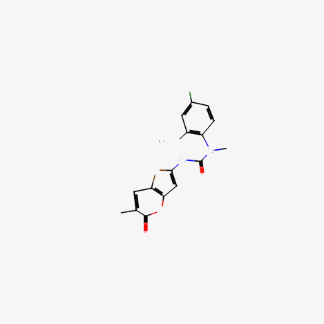 COc1cc(Cl)ccc1N(C)C(=O)Nc1cc2oc(=O)c(C(=O)O)cc2s1